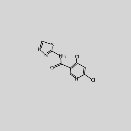 O=C(Nc1nncs1)c1cnc(Cl)cc1Cl